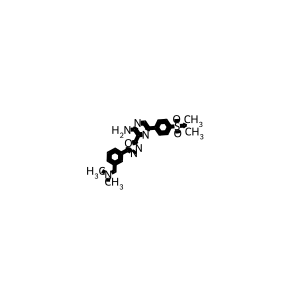 CC(C)S(=O)(=O)c1ccc(-c2cnc(N)c(-c3nnc(-c4cccc(CN(C)C)c4)o3)n2)cc1